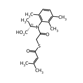 CC(C)=CC(=O)SCC(=O)N(c1c(C)ccc(C)c1C)[C@@H](C)C(=O)O